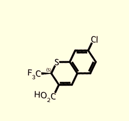 O=C(O)C1=Cc2ccc(Cl)cc2S[C@@H]1C(F)(F)F